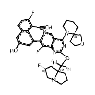 [2H]C([2H])(Oc1nc(N2CCCC[C@@]23CCOC3)c2cnc(-c3cc(O)cc4ccc(F)c(C#C)c34)c(F)c2n1)[C@@]12CCCN1C[C@H](F)C2